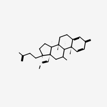 C[C@]12C=CC(=O)C=C1CC[C@H]1[C@@H]3CC[C@](O)(CCC(=O)O)[C@@]3(C=NO)CC(O)[C@@]12F